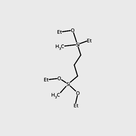 CCO[Si](C)(CC)CCC[Si](C)(OCC)OCC